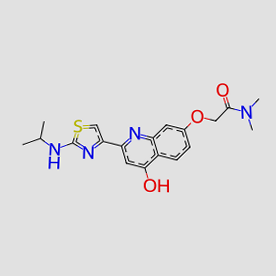 CC(C)Nc1nc(-c2cc(O)c3ccc(OCC(=O)N(C)C)cc3n2)cs1